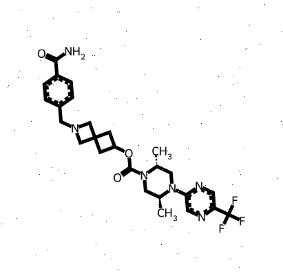 C[C@@H]1CN(c2cnc(C(F)(F)F)cn2)[C@@H](C)CN1C(=O)OC1CC2(C1)CN(Cc1ccc(C(N)=O)cc1)C2